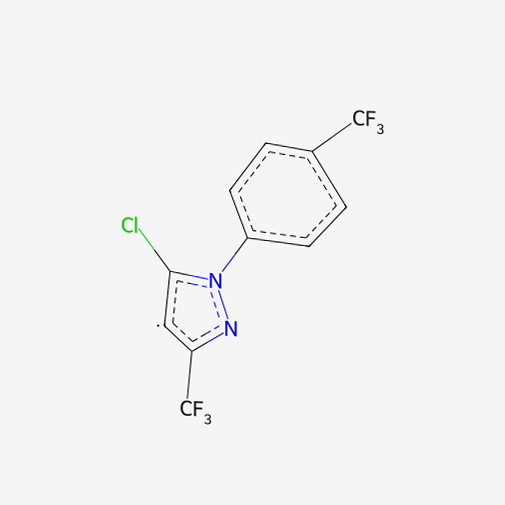 FC(F)(F)c1ccc(-n2nc(C(F)(F)F)[c]c2Cl)cc1